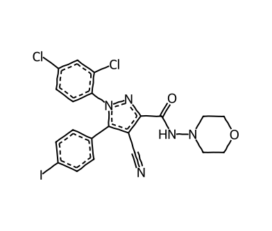 N#Cc1c(C(=O)NN2CCOCC2)nn(-c2ccc(Cl)cc2Cl)c1-c1ccc(I)cc1